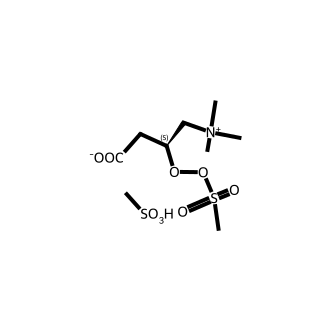 CS(=O)(=O)O.C[N+](C)(C)C[C@H](CC(=O)[O-])OOS(C)(=O)=O